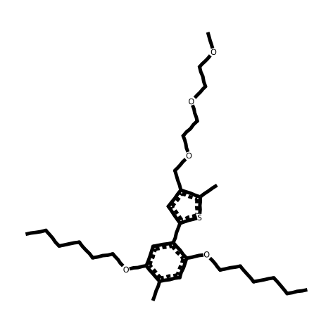 CCCCCCOc1cc(-c2cc(COCCOCCOC)c(C)s2)c(OCCCCCC)cc1C